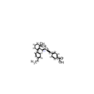 CCc1ccc(C2=C(/C=C/C#Cc3ccc(C(=O)O)cc3)C(C)(C)CCC2)cc1